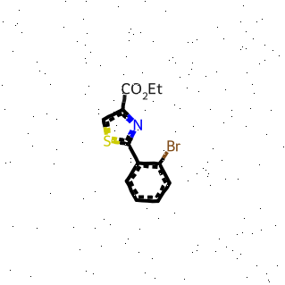 CCOC(=O)c1csc(-c2ccccc2Br)n1